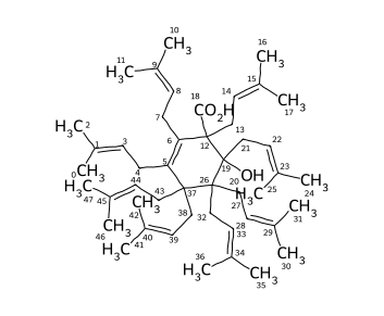 CC(C)=CCC1=C(CC=C(C)C)C(CC=C(C)C)(C(=O)O)C(O)(CC=C(C)C)C(CC=C(C)C)(CC=C(C)C)C1(CC=C(C)C)CC=C(C)C